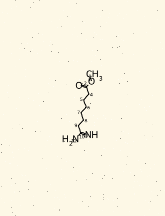 COC(=O)CCCCCCC(=N)N